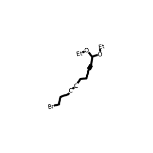 CCOC(C#CCCCCCCCBr)OCC